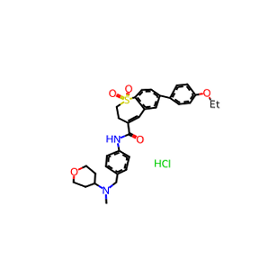 CCOc1ccc(-c2ccc3c(c2)C=C(C(=O)Nc2ccc(CN(C)C4CCOCC4)cc2)CCS3(=O)=O)cc1.Cl